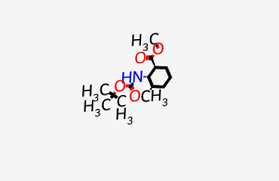 COC(=O)[C@H]1CCC[C@H](C)[C@@H]1NC(=O)OC(C)(C)C